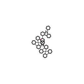 c1ccc(-n2c3ccccc3c3c(-c4ccc(N(c5cccc6c5-c5ccccc5C65c6ccccc6-c6ccccc65)c5cccc6c5C5(c7ccccc7-c7ccccc75)c5ccccc5-6)cc4)cccc32)cc1